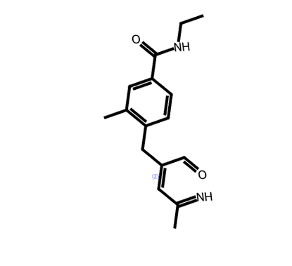 CCNC(=O)c1ccc(C/C(C=O)=C/C(C)=N)c(C)c1